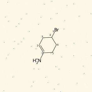 NC1=CCC(Br)CC1